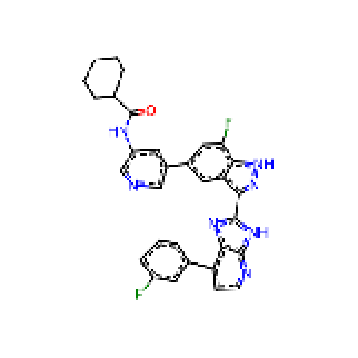 O=C(Nc1cncc(-c2cc(F)c3[nH]nc(-c4nc5c(-c6cccc(F)c6)ccnc5[nH]4)c3c2)c1)C1CCCCC1